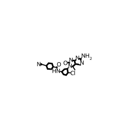 Cc1c2cnc(N)nc2nc(=O)n1-c1cc(NC(=O)c2ccc(C#N)cc2)ccc1Cl